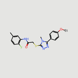 CCOc1ccc(-c2nnc(SCC(=O)Nc3cc(C)ccc3F)n2C)cc1